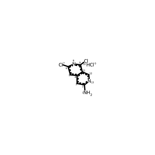 Cl.Nc1cc2cc(Cl)nc(Cl)c2cn1